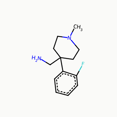 CN1CCC(CN)(c2ccccc2F)CC1